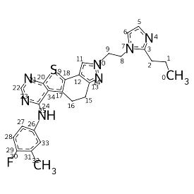 CCCc1nccn1CCn1cc2c(n1)CCc1c-2sc2ncnc(Nc3ccc(F)c(C)c3)c12